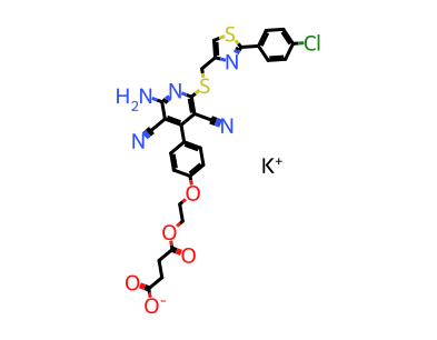 N#Cc1c(N)nc(SCc2csc(-c3ccc(Cl)cc3)n2)c(C#N)c1-c1ccc(OCCOC(=O)CCC(=O)[O-])cc1.[K+]